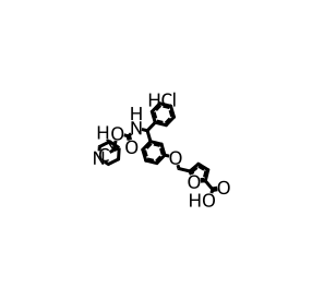 Cl.O=C(NC(c1ccccc1)c1cccc(OCc2ccc(C(=O)O)o2)c1)O[C@H]1CN2CCC1CC2